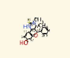 CC1=C(C(=O)c2ccccc2)C(c2ccc(O)cc2)NC(=S)N1C